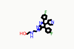 OCCNCCn1cc2c(-c3ccc(F)cc3)c(-c3ccncc3)c(-c3ccc(F)cc3)nc2n1